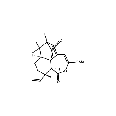 C=C[C@]1(C)CC[C@H]2C(C)(C)[C@@H]3C=C4C=C(OC)OC(=O)[C@@H]1[C@@]42CC3=O